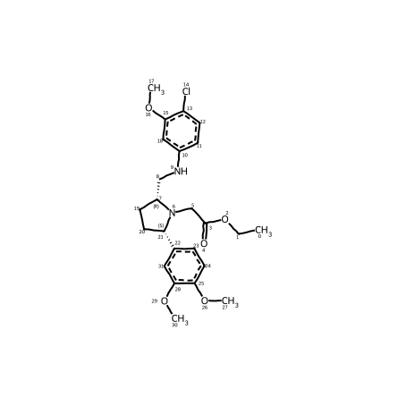 CCOC(=O)CN1[C@@H](CNc2ccc(Cl)c(OC)c2)CC[C@H]1c1ccc(OC)c(OC)c1